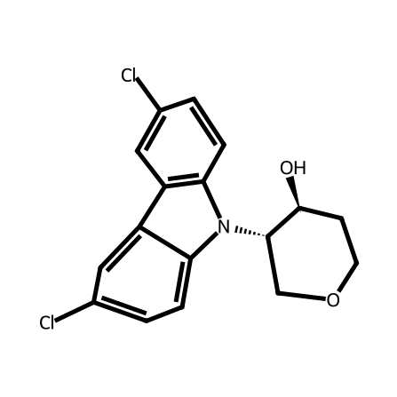 O[C@H]1CCOC[C@@H]1n1c2ccc(Cl)cc2c2cc(Cl)ccc21